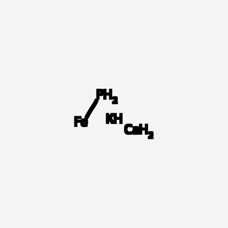 [CaH2].[KH].[PH2][Fe]